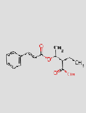 CCC(C(=O)O)C(C)OC(=O)C=Cc1ccccc1